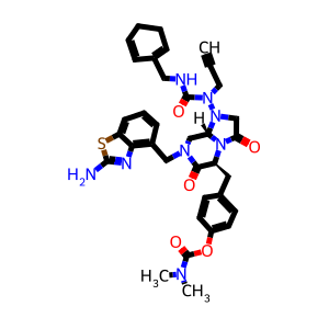 C#CCN(C(=O)NCC1=CCCC=C1)N1CC(=O)N2[C@@H](Cc3ccc(OC(=O)N(C)C)cc3)C(=O)N(Cc3cccc4sc(N)nc34)C[C@@H]21